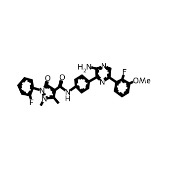 COc1cccc(-c2cnc(N)c(-c3ccc(NC(=O)c4c(C)n(C)n(-c5ccccc5F)c4=O)cc3)n2)c1F